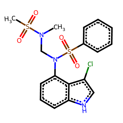 CN(CN(c1cccc2[nH]cc(Cl)c12)S(=O)(=O)c1ccccc1)S(C)(=O)=O